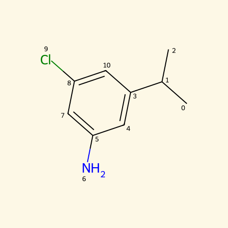 CC(C)c1cc(N)cc(Cl)c1